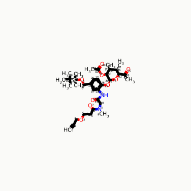 C#CCOCCC(=O)N(C)CC(=O)Nc1cc(CO[Si](C)(C)C(C)(C)C)ccc1O[C@@H]1OC(C(C)=O)[C@@H](C)[C@H](C)C1OC(C)=O